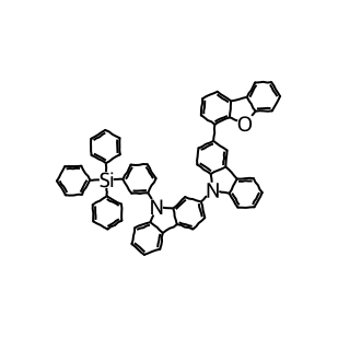 c1ccc([Si](c2ccccc2)(c2ccccc2)c2cccc(-n3c4ccccc4c4ccc(-n5c6ccccc6c6cc(-c7cccc8c7oc7ccccc78)ccc65)cc43)c2)cc1